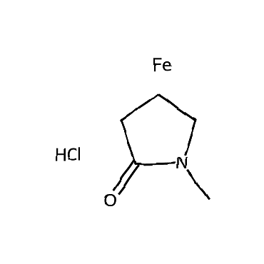 CN1CCCC1=O.Cl.[Fe]